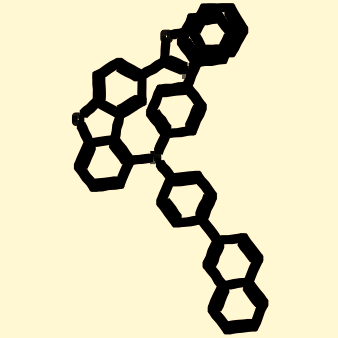 c1ccc(-c2ccc(N(c3ccc(-c4ccc5ccccc5c4)cc3)c3cccc4oc5ccc(-c6nc7ccccc7o6)cc5c34)cc2)cc1